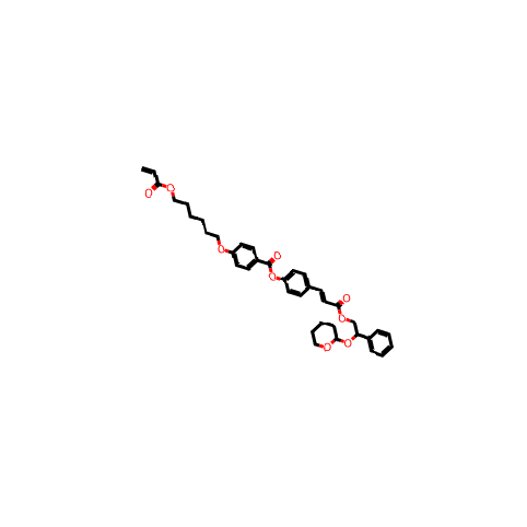 C=CC(=O)OCCCCCCOc1ccc(C(=O)Oc2ccc(C=CC(=O)OCC(OC3CCCCO3)c3ccccc3)cc2)cc1